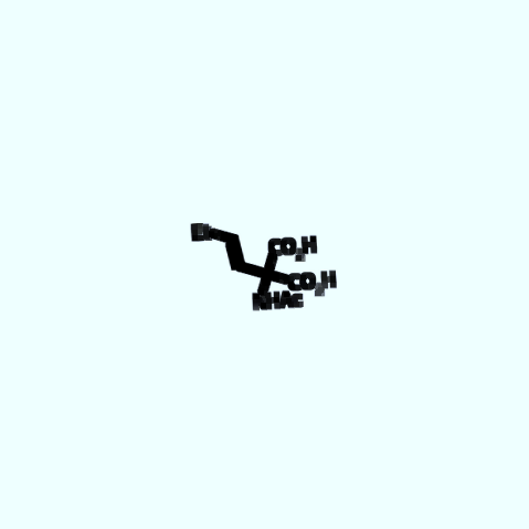 CCC=CC(NC(C)=O)(C(=O)O)C(=O)O